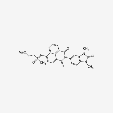 COCCS(C)(=O)=Nc1ccc2c3c(cccc13)C(=O)N(c1ccc3c(c1)n(C)c(=O)n3C)C2=O